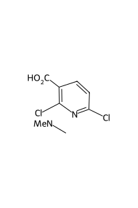 CNC.O=C(O)c1ccc(Cl)nc1Cl